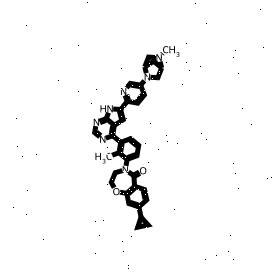 Cc1c(-c2ncnc3[nH]c(-c4ccc(N5CC6CC5CN6C)cn4)cc23)cccc1N1CCOc2cc(C3CC3)ccc2C1=O